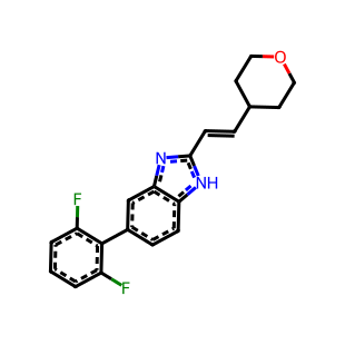 Fc1cccc(F)c1-c1ccc2[nH]c(C=CC3CCOCC3)nc2c1